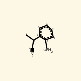 CC(C#N)c1ccccc1P